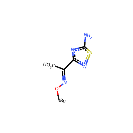 CCCCON=C(C(=O)O)c1nsc(N)n1